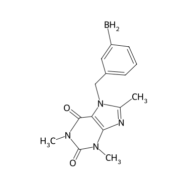 Bc1cccc(Cn2c(C)nc3c2c(=O)n(C)c(=O)n3C)c1